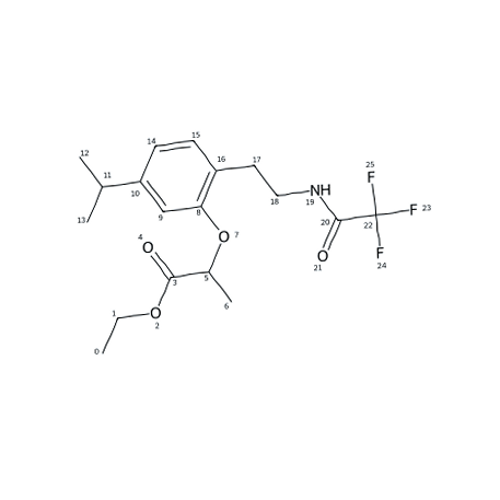 CCOC(=O)C(C)Oc1cc(C(C)C)ccc1CCNC(=O)C(F)(F)F